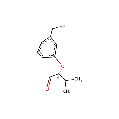 CC(C)[C@H](C=O)Oc1cccc(CBr)c1